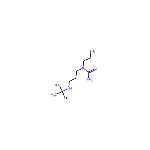 CCCN(CCCNC(C)(C)C)C(=N)N